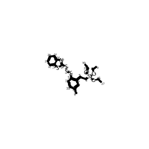 CCO[Si](CCc1cc(C)ccc1SSSc1nc2ccccc2s1)(OCC)OCC